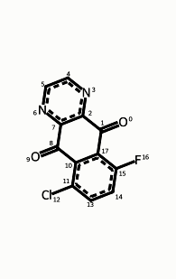 O=C1c2nccnc2C(=O)c2c(Cl)ccc(F)c21